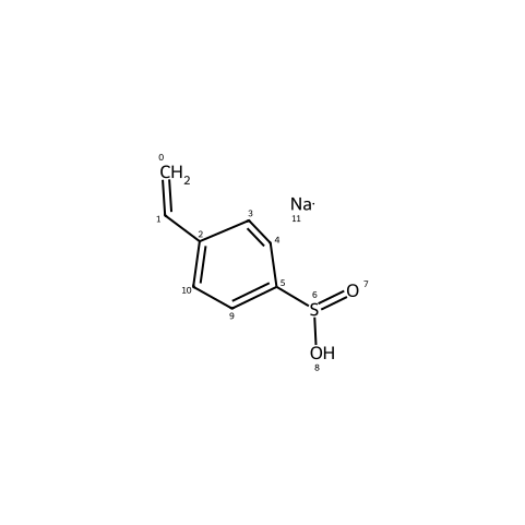 C=Cc1ccc(S(=O)O)cc1.[Na]